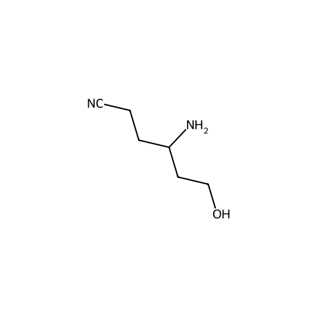 N#CCCC(N)CCO